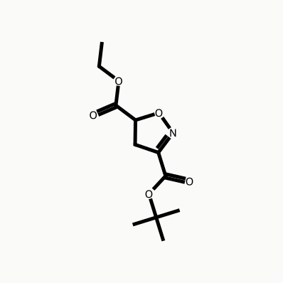 CCOC(=O)C1CC(C(=O)OC(C)(C)C)=NO1